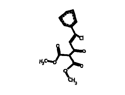 COC(=O)C(C(=O)C=C(Cl)c1ccccc1)C(=O)OC